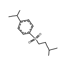 C[C](C)CCS(=O)(=O)c1ccc(C(C)C)cc1